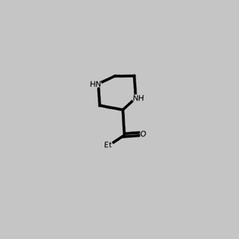 [CH2]CC(=O)C1CNCCN1